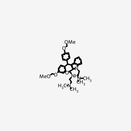 COCOc1ccc(C(c2ccc(OCOC)cc2)c2c(C(=O)NCCN(C)C)n(CCN(C)C)c3ccccc23)cc1